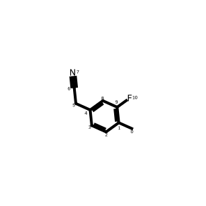 Cc1ccc(CC#N)cc1F